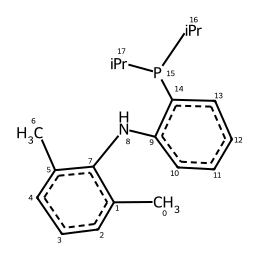 Cc1cccc(C)c1Nc1ccccc1P(C(C)C)C(C)C